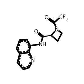 O=C(Nc1cccc2cccnc12)[C@@H]1CCN1C(=O)C(F)(F)F